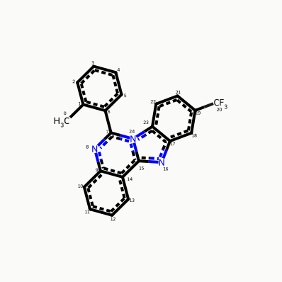 Cc1ccccc1-c1nc2ccccc2c2nc3cc(C(F)(F)F)ccc3n12